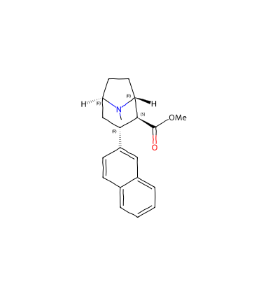 COC(=O)[C@@H]1[C@H]2CC[C@H](C[C@H]1c1ccc3ccccc3c1)N2C